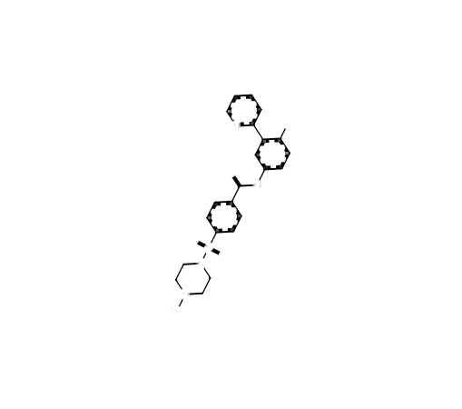 CC(=O)N1CCN(S(=O)(=O)c2ccc(C(=O)Nc3ccc(Cl)c(-c4ccccn4)c3)cc2)CC1